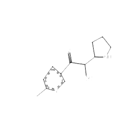 Cc1ccc(C(=O)C(O)C2CCCN2)cn1